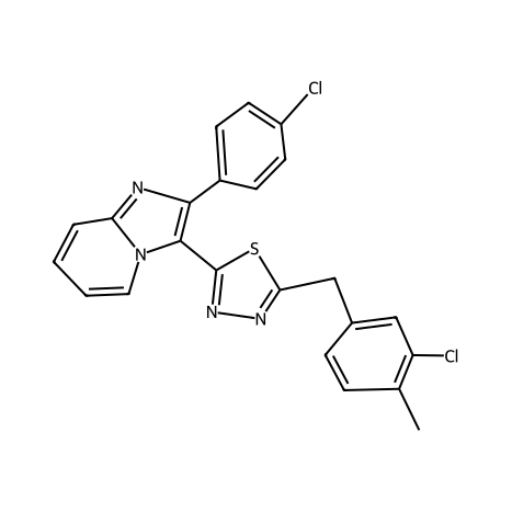 Cc1ccc(Cc2nnc(-c3c(-c4ccc(Cl)cc4)nc4ccccn34)s2)cc1Cl